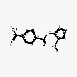 COc1ccsc1OC(=O)c1ccc(C(=O)O)cc1